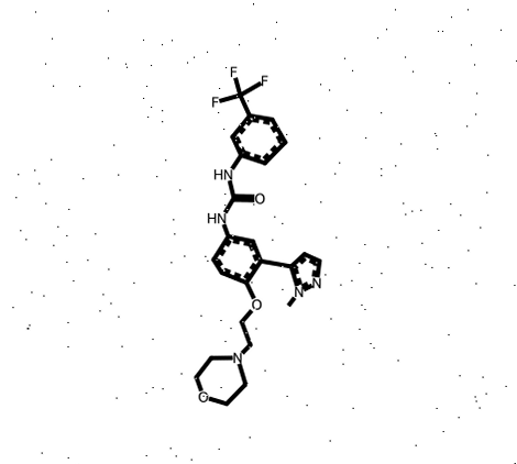 Cn1nccc1-c1cc(NC(=O)Nc2cccc(C(F)(F)F)c2)ccc1OCCN1CCOCC1